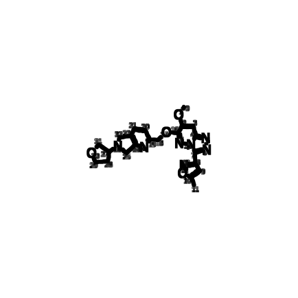 COc1cc2nnc(-c3cc(C)on3)n2nc1OCc1ccc2c(n1)CN(C1CCOC1)C2